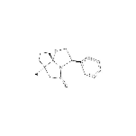 O=C1C[C@H]2CCC[C@]23OC[C@@H](c2ccccc2)N13